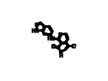 O=c1[nH]cc(Cl)c2ccnc(Nc3ccc4cn[nH]c4c3)c12